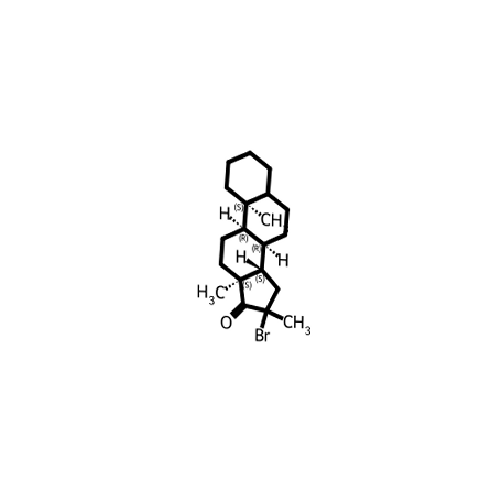 CC1(Br)C[C@H]2[C@@H]3CCC4CCCC[C@]4(C)[C@@H]3CC[C@]2(C)C1=O